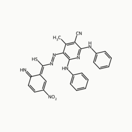 Cc1c(C#N)c(Nc2ccccc2)nc(Nc2ccccc2)c1/N=N/C(S)=C1\C=C([N+](=O)[O-])C=CC1=N